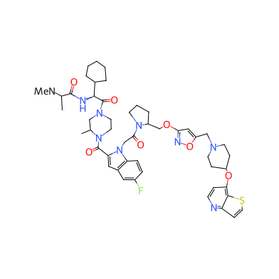 CNC(C)C(=O)N[C@H](C(=O)N1CCN(C(=O)c2cc3cc(F)ccc3n2CC(=O)N2CCCC2COc2cc(CN3CCC(Oc4ccnc5ccsc45)CC3)on2)C(C)C1)C1CCCCC1